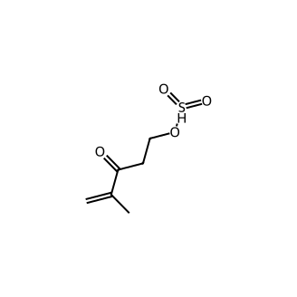 C=C(C)C(=O)CCO[SH](=O)=O